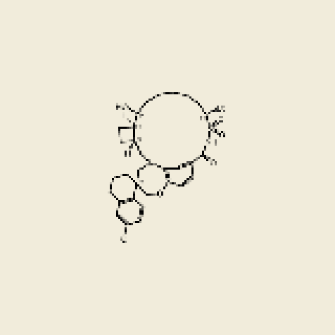 CC[C@@H]1CCCCC[C@H](O)[C@@H]2CC[C@H]2CN2C[C@@]3(CCCc4cc(Cl)ccc43)COc3ccc(cc32)C(=O)NS1(=O)=O